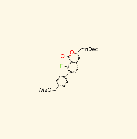 CCCCCCCCCCCc1cc2ccc(-c3ccc(COC)cc3)c(F)c2c(=O)o1